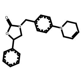 O=C1OC(c2ccccc2)CN1Cc1ccc(N2CC=CCC2)cc1